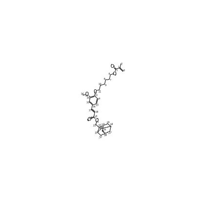 C=C(C)C(=O)OCCCCCCOc1ccc(C=CC(=O)OCC2C3CC4CC(C3)CC2C4)cc1OC